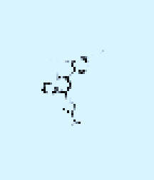 COc1ncc(-c2cc(N3CC(C(F)F)C3)c3nccn3n2)c(OC)n1